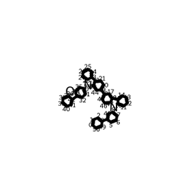 c1ccc(-c2cccc(-n3c4ccccc4c4cc(-c5ccc6c7ccccc7n(-c7ccc8c(c7)oc7ccccc78)c6c5)ccc43)c2)cc1